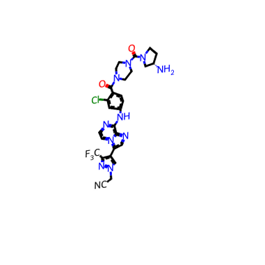 N#CCn1cc(-c2cnc3c(Nc4ccc(C(=O)N5CCN(C(=O)N6CC[C@H](N)C6)CC5)c(Cl)c4)nccn23)c(C(F)(F)F)n1